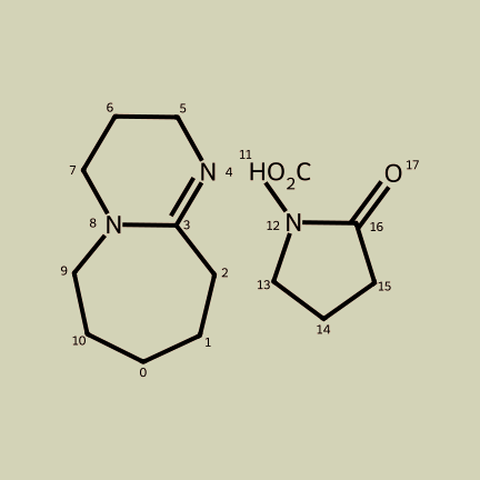 C1CCC2=NCCCN2CC1.O=C(O)N1CCCC1=O